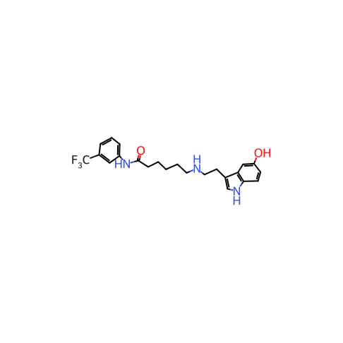 O=C(CCCCCNCCc1c[nH]c2ccc(O)cc12)Nc1cccc(C(F)(F)F)c1